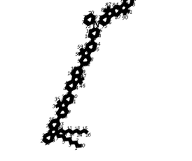 CCCCCCCCC1(CCCCCCCC)c2ccccc2-c2ccc(-c3ccc4c(c3)C(C)(C)c3cc(-c5ccc6c(c5)C(C)(C)c5cc(-c7ccc8c(c7)C(C)(C)c7cc(-c9ccc(N(c%10ccccc%10)c%10ccc%11c(c%10)C(C)(C)c%10cc%12c(cc%10-%11)C(C)(C)c%10ccc%11ccccc%11c%10-%12)cc9)ccc7-8)ccc5-6)ccc3-4)cc21